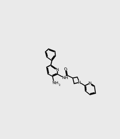 Nc1ccc(-c2ccccc2)nc1NC(=O)C1CN(c2ccccn2)C1